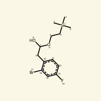 C[Si](C)(C)CCOC(O)Cc1ccc(F)cc1Br